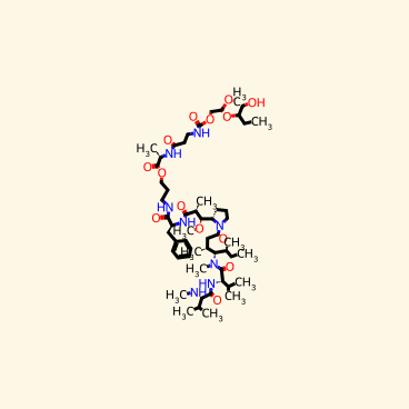 CCC(CO)OC(COC(=O)NCCC(=O)N[C@@H](C)C(=O)OCCCNC(=O)[C@H](Cc1ccccc1)NC(=O)[C@H](C)[C@@H](OC)[C@@H]1CCCN1C(=O)C[C@@H](C)[C@H]([C@@H](C)CC)N(C)C(=O)[C@@H](NC(=O)[C@@H](NC)C(C)C)C(C)C)OC